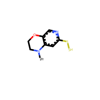 CC(C)N1CCOc2cnc(SS)cc21